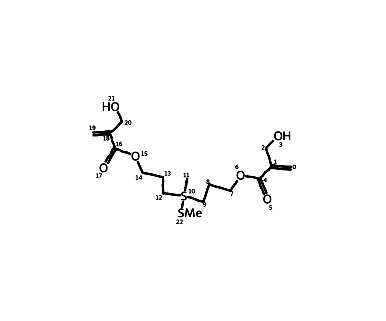 C=C(CO)C(=O)OCCCS(C)(CCCOC(=O)C(=C)CO)SC